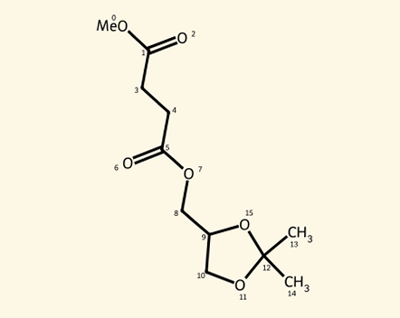 COC(=O)CCC(=O)OCC1COC(C)(C)O1